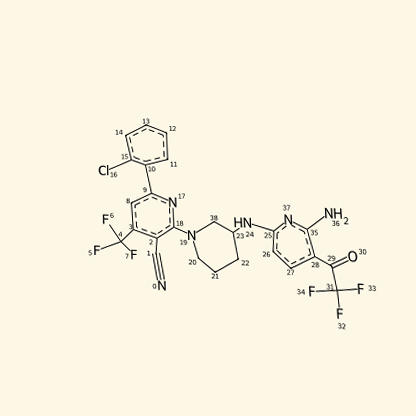 N#Cc1c(C(F)(F)F)cc(-c2ccccc2Cl)nc1N1CCCC(Nc2ccc(C(=O)C(F)(F)F)c(N)n2)C1